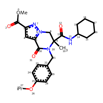 COC(=O)c1cc2n(n1)CC(C)(C(=O)NC1CCCCC1)N(Cc1ccc(OC(C)C)cc1)C2=O